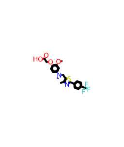 COc1cc(N(C)Cc2sc(-c3ccc(C(F)(F)F)cc3)nc2C)ccc1OCC(=O)O